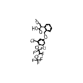 COC=C(C(=O)O)c1ccccc1COc1cc(Cl)c(OC(F)(F)C(F)OC(F)(F)F)c(Cl)c1